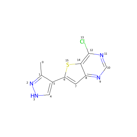 Cc1n[nH]cc1-c1cc2ncnc(Cl)c2s1